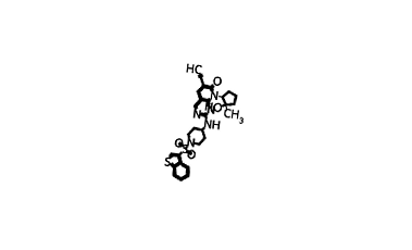 C#Cc1cc2cnc(NC3CCN(S(=O)(=O)c4csc5ccccc45)CC3)nc2n([C@@H]2CCC[C@@]2(C)O)c1=O